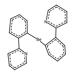 [Be]([c]1ccccc1-c1ccccn1)[c]1ccccc1-c1ccccn1